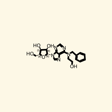 OCCN(Cc1ccccc1)c1ncnc2c1ncn2[C@@H]1O[C@H](CO)[C@@H](O)[C@H]1O